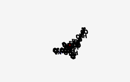 C=C(C)C(=O)OCCNC(=O)OCCS(=O)(=O)c1c(F)c(F)c(S(=O)(=O)NS(=O)(=O)c2ccccc2-c2c3cc/c(=N\c4c(C)cccc4C)cc-3oc3cc(Nc4c(C)cccc4C)ccc23)c(F)c1F